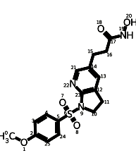 COc1ccc(S(=O)(=O)N2CCc3cc(CCC(=O)NO)cnc32)cc1